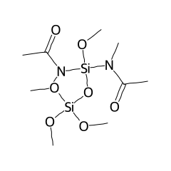 CO[Si](OC)(OC)O[Si](OC)(N(C)C(C)=O)N(C)C(C)=O